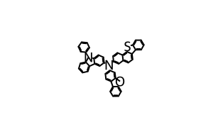 c1ccc(-n2c3ccccc3c3cc(N(c4ccc5c(ccc6c7ccccc7sc56)c4)c4ccc5c(c4)oc4ccccc45)ccc32)cc1